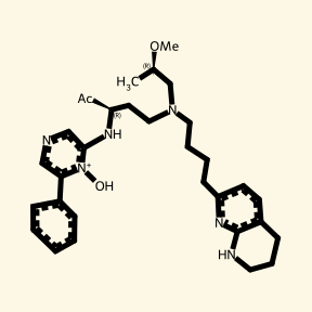 CO[C@H](C)CN(CCCCc1ccc2c(n1)NCCC2)CC[C@@H](Nc1cncc(-c2ccccc2)[n+]1O)C(C)=O